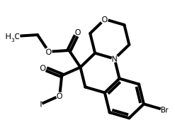 CCOC(=O)C1(C(=O)OI)Cc2ccc(Br)cc2N2CCOCC21